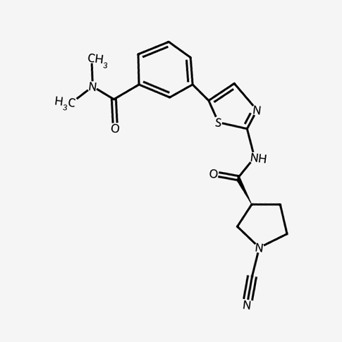 CN(C)C(=O)c1cccc(-c2cnc(NC(=O)[C@H]3CCN(C#N)C3)s2)c1